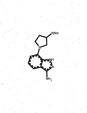 CNC1CCN(c2cccc3c(N)n[nH]c23)C1